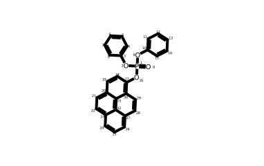 O=P(Oc1ccccc1)(Oc1ccccc1)Oc1ccc2ccc3cccc4ccc1c2c34